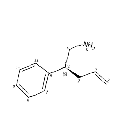 C=CC[C@H](CN)c1ccccc1